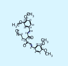 COc1ccc(/C=C/C(=O)C(CCN=O)C(=O)/C=C/c2ccc(OC)c(OC)c2)cc1OC